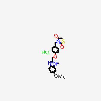 COc1ccc2nc(COc3ccc(CN4C(=O)CSC4=O)cc3)n(C)c2c1.Cl